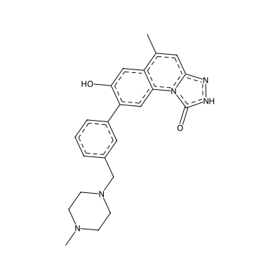 Cc1cc2n[nH]c(=O)n2c2cc(-c3cccc(CN4CCN(C)CC4)c3)c(O)cc12